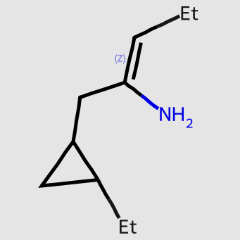 CC/C=C(\N)CC1CC1CC